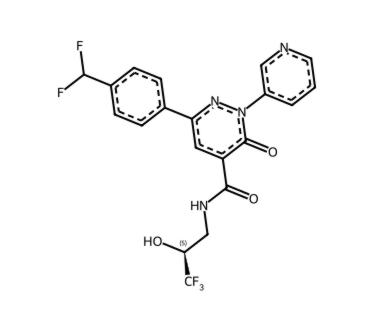 O=C(NC[C@H](O)C(F)(F)F)c1cc(-c2ccc(C(F)F)cc2)nn(-c2cccnc2)c1=O